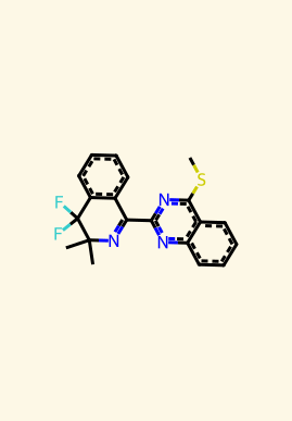 CSc1nc(C2=NC(C)(C)C(F)(F)c3ccccc32)nc2ccccc12